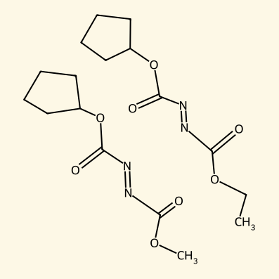 CCOC(=O)N=NC(=O)OC1CCCC1.COC(=O)N=NC(=O)OC1CCCC1